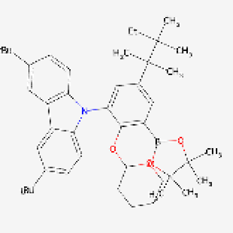 CCC(C)(C)C(C)(C)c1cc(B2OC(C)(C)C(C)(C)O2)c(OC2CCCCO2)c(-n2c3ccc(C(C)(C)C)cc3c3cc(C(C)(C)C)ccc32)c1